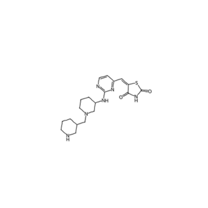 O=C1NC(=O)/C(=C\c2ccnc(NC3CCCN(CC4CCCNC4)C3)n2)S1